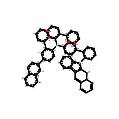 C1=CC2=Cc3c(n(-c4ccccc4-c4ccc(N(c5ccccc5-c5ccccc5)c5ccc(-c6ccc7ccccc7c6)cc5-c5ccccc5)cc4)c4ccccc34)CC2C=C1